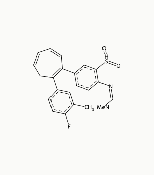 CN/C=N\c1ccc(C2=C(c3ccc(F)c(C)c3)CC=CC=C2)cc1[SH](=O)=O